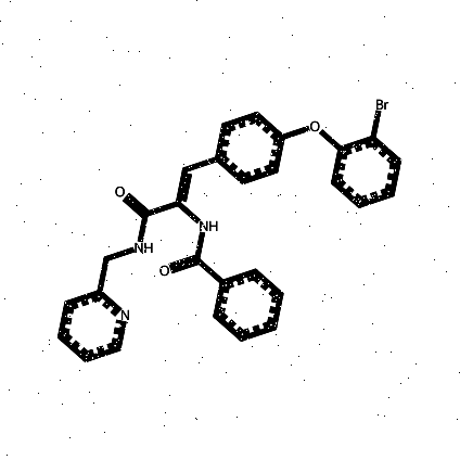 O=C(NCc1ccccn1)/C(=C/c1ccc(Oc2ccccc2Br)cc1)NC(=O)c1ccccc1